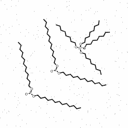 CCCCCCCCCCCCCOP([O-])OCCCCCCCCCCCCC.CCCCCCCCCCCCCOP([O-])OCCCCCCCCCCCCC.CCCCCCCC[O][Ti+2]([O]CCCCCCCC)([O]CCCCCCCC)[O]CCCCCCCC